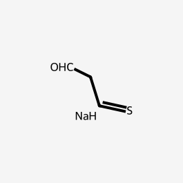 O=CCC=S.[NaH]